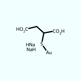 O=C(O)CC([S][Au])C(=O)O.[NaH].[NaH]